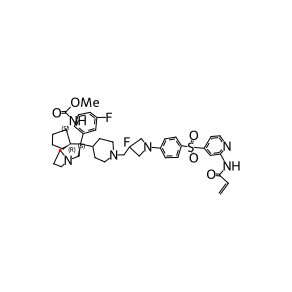 C=CC(=O)Nc1cc(S(=O)(=O)c2ccc(N3CC(F)(CN4CCC([C@@](CN5CCC5)(c5cccc(F)c5)[C@H]5CCC[C@@H]5NC(=O)OC)CC4)C3)cc2)ccn1